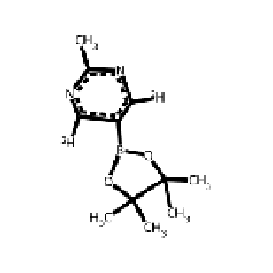 [2H]c1nc(C)nc([2H])c1B1OC(C)(C)C(C)(C)O1